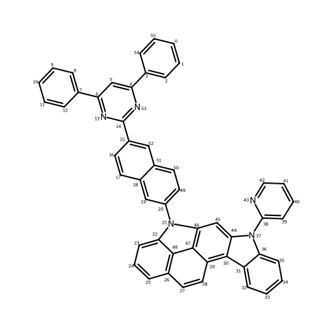 c1ccc(-c2cc(-c3ccccc3)nc(-c3ccc4cc(-n5c6cccc7ccc8c9c%10ccccc%10n(-c%10ccccn%10)c9cc5c8c76)ccc4c3)n2)cc1